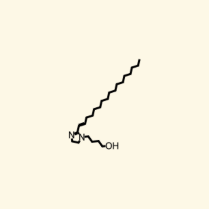 CCCCCCCCCCCCCCC/C=C/C1=NCCN1CCCCO